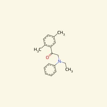 CCN(CC(=O)c1cc(C)ccc1C)c1ccccc1